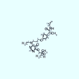 CCN(CCCOc1ccc(C(C)C(=O)NC2CC2)cc1)c1ncnc(OCC(C)(C)O)c1Cl